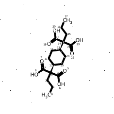 CCCC(C(=O)O)(C(=O)O)[C@H]1CC[C@@H](C(CCC)(C(=O)O)C(=O)O)CC1